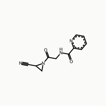 N#CC1CN1C(=O)CNC(=O)c1ccccn1